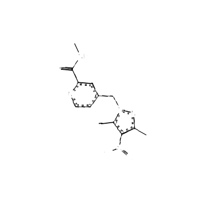 CNC(=O)c1cc(Cn2nc(C)c([N+](=O)[O-])c2C)ccn1